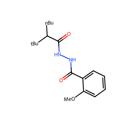 CCCCC(C(=O)NNC(=O)c1ccccc1OC)C(C)(C)C